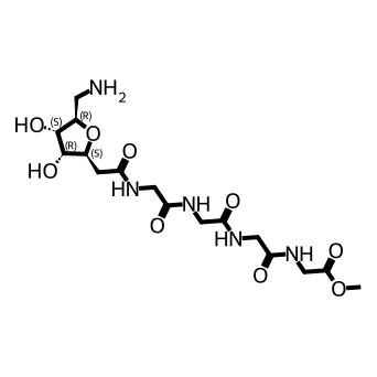 COC(=O)CNC(=O)CNC(=O)CNC(=O)CNC(=O)C[C@@H]1O[C@H](CN)[C@@H](O)[C@H]1O